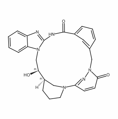 O=C1Nc2nc3ccccc3n2C[C@H](O)[C@@H]2CCCN(C2)c2ccc(=O)n(n2)Cc2cccc1c2